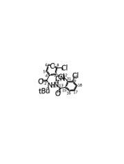 CC(C)(C)N(C(=O)c1cccc(Cl)c1)N(C#N)C(=O)c1cccc(Cl)c1Cl